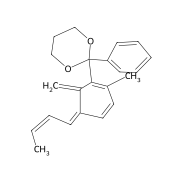 C=c1c(C2(c3ccccc3)OCCCO2)c(C)cc/c1=C/C=C\C